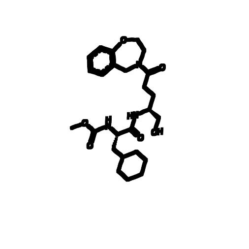 COC(=O)N[C@@H](CC1CCCCC1)C(=O)N[C@H](CO)CCC(=O)N1CCOc2ccccc2C1